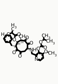 COc1ccnc(CN[C@H]2CC(=O)C(=O)[C@H](Cc3ccccc3)[C@H](OC(=O)C(C)C)[C@H](C)C(=O)C2=O)c1OC(=O)OC(C)C